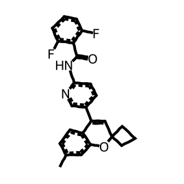 Cc1ccc2c(c1)OC1(C=C2c2ccc(NC(=O)c3c(F)cccc3F)nc2)CCC1